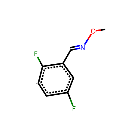 CON=Cc1cc(F)c[c]c1F